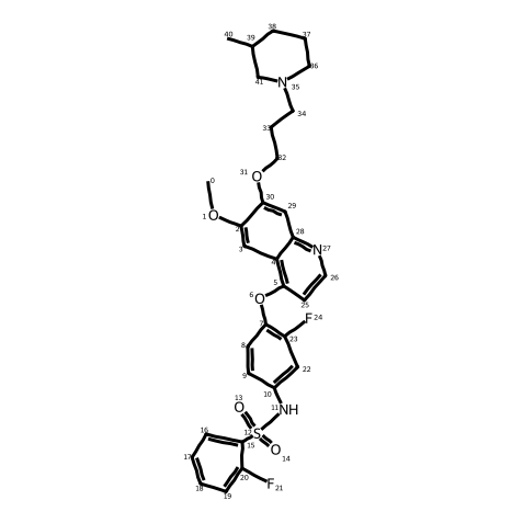 COc1cc2c(Oc3ccc(NS(=O)(=O)c4ccccc4F)cc3F)ccnc2cc1OCCCN1CCCC(C)C1